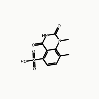 Cc1ccc(S(=O)(=O)O)c2c(=O)[nH]c(=O)n(C)c12